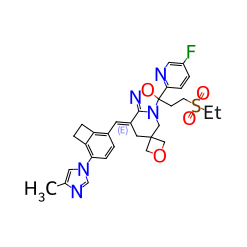 CCS(=O)(=O)CCC1(c2ccc(F)cn2)ON=C2/C(=C/c3ccc(-n4cnc(C)c4)c4c3CC4)CC3(COC3)CN21